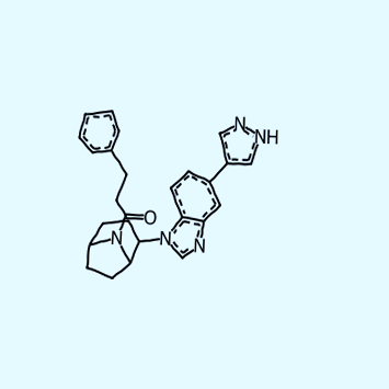 O=C(CCc1ccccc1)N1C2CCC1C(n1cnc3cc(-c4cn[nH]c4)ccc31)CC2